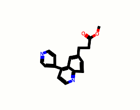 COC(=O)CCc1ccc2nccc(-c3ccncc3)c2c1